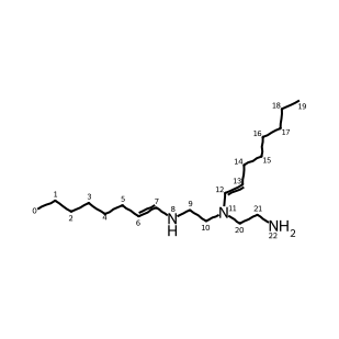 CCCCCCC=CNCCN(C=CCCCCCC)CCN